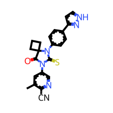 Cc1cc(N2C(=O)C3(CCC3)N(c3ccc(-c4cc[nH]n4)cc3)C2=S)cnc1C#N